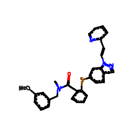 COc1cccc(CN(C)C(=O)c2ccccc2Sc2ccc3cnn(C=Cc4ccccn4)c3c2)c1